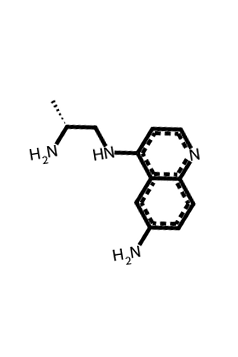 C[C@@H](N)CNc1ccnc2ccc(N)cc12